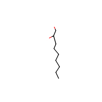 CCCCCCCC(O)CO